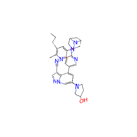 CCCc1cc(CN2C3CC2CN(c2ccc(-c4cc(N5CCC(O)C5)cn5ncc(C#N)c45)cn2)C3)cnc1C